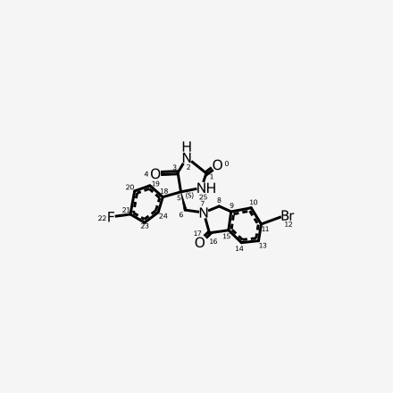 O=C1NC(=O)[C@@](CN2Cc3cc(Br)ccc3C2=O)(c2ccc(F)cc2)N1